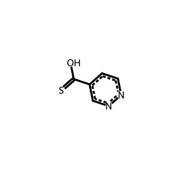 OC(=S)c1ccnnc1